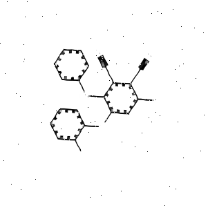 N#Cc1c(F)cc(Sc2ccccc2Cl)c(Nc2ccccc2)c1C#N